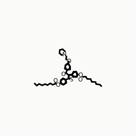 CCCCCCCCC(=O)Oc1ccc(-c2sc3cc(OC(=O)CCCCCCCC)ccc3c2C(=O)c2ccc(OCCN3CCCCC3)cc2)cc1